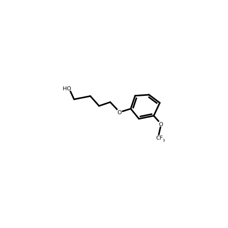 OCCCCOc1cccc(OC(F)(F)F)c1